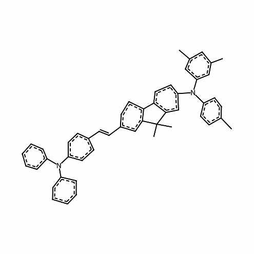 Cc1ccc(N(c2cc(C)cc(C)c2)c2ccc3c(c2)C(C)(C)c2cc(/C=C/c4ccc(N(c5ccccc5)c5ccccc5)cc4)ccc2-3)cc1